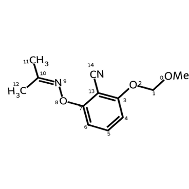 COCOc1cccc(ON=C(C)C)c1C#N